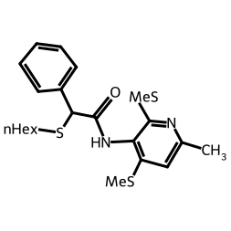 CCCCCCSC(C(=O)Nc1c(SC)cc(C)nc1SC)c1ccccc1